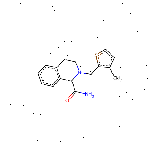 Cc1ccsc1CN1CCc2c[c]ccc2C1C(N)=O